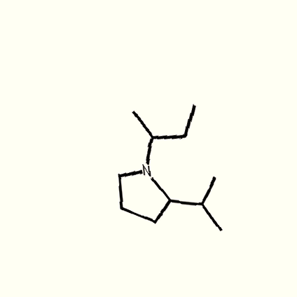 CCC(C)N1CCCC1C(C)C